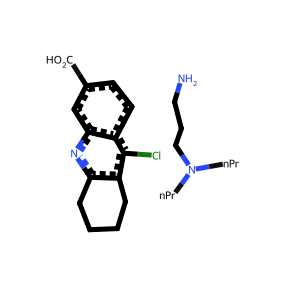 CCCN(CCC)CCCN.O=C(O)c1ccc2c(Cl)c3c(nc2c1)CCCC3